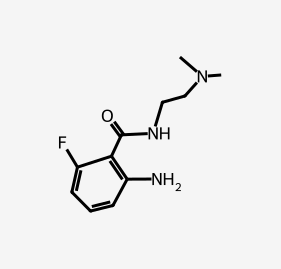 CN(C)CCNC(=O)c1c(N)cccc1F